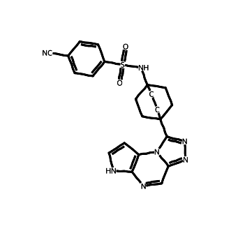 N#Cc1ccc(S(=O)(=O)NC23CCC(c4nnc5cnc6[nH]ccc6n45)(CC2)CC3)cc1